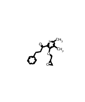 Cc1sc(C(=O)CCc2ccccc2)c(OCC2CO2)c1C